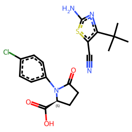 CC(C)(C)c1nc(N)sc1C#N.O=C(O)[C@@H]1CCC(=O)N1c1ccc(Cl)cc1